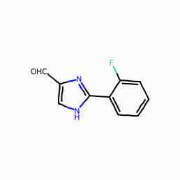 O=Cc1c[nH]c(-c2ccccc2F)n1